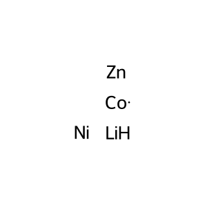 [Co].[LiH].[Ni].[Zn]